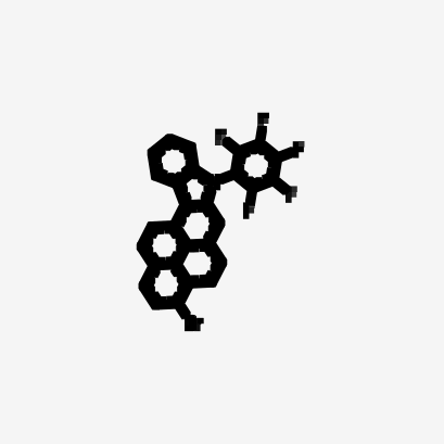 Fc1c(F)c(F)c(-n2c3ccccc3c3c4ccc5ccc(Br)c6ccc(cc32)c4c56)c(F)c1F